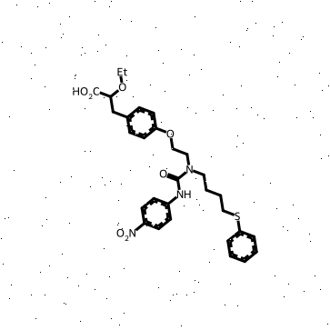 CCOC(Cc1ccc(OCCN(CCCCSc2ccccc2)C(=O)Nc2ccc([N+](=O)[O-])cc2)cc1)C(=O)O